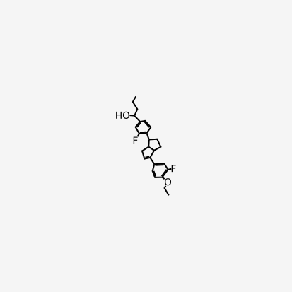 CCCC(O)c1ccc(C2CCC3C(c4ccc(OCC)c(F)c4)=CCC32)c(F)c1